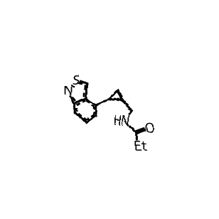 CCC(=O)NCC1CC1c1cccc2nscc12